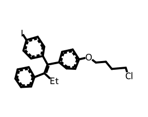 CCC(=C(c1ccc(I)cc1)c1ccc(OCCCCCl)cc1)c1ccccc1